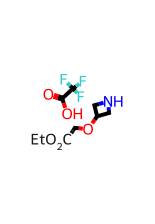 CCOC(=O)COC1CNC1.O=C(O)C(F)(F)F